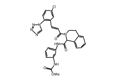 COC(=O)Nc1cccc(NC(=O)C2c3ccccc3CCN2C(=O)C=Cc2cc(Cl)ccc2-n2cnnn2)c1